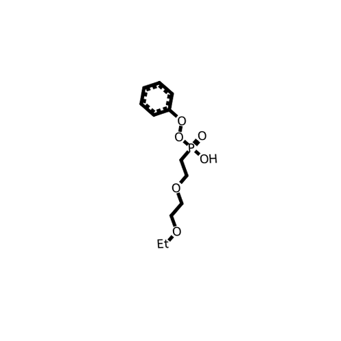 CCOCCOCCP(=O)(O)OOc1ccccc1